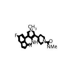 CNC(=O)N1CC=C(C2=C3NN=C4C=Cc5cc(F)cc(c54)C3=CN(C)C2)CC1